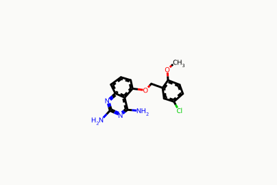 COc1ccc(Cl)cc1COc1cccc2nc(N)nc(N)c12